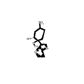 O=C(O)OC1(c2coc3ccoc23)CCC([N+](=O)[O-])C[C@H]1O